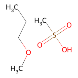 CCCOC.CS(=O)(=O)O